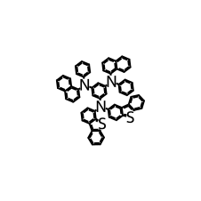 c1ccc(N(c2cc(N(c3ccccc3)c3cccc4ccccc34)cc(N(c3ccc4sc5ccccc5c4c3)c3cccc4c3sc3ccccc34)c2)c2cccc3ccccc23)cc1